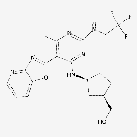 Cc1nc(NCC(F)(F)F)nc(N[C@H]2CC[C@@H](CO)C2)c1-c1nc2ncccc2o1